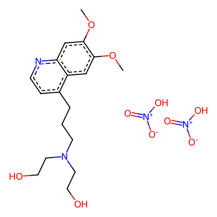 COc1cc2nccc(CCCN(CCO)CCO)c2cc1OC.O=[N+]([O-])O.O=[N+]([O-])O